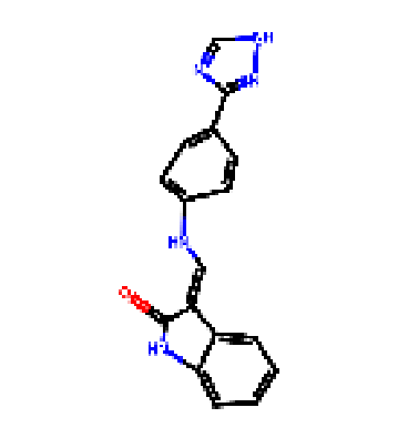 O=C1Nc2ccccc2C1=CNc1ccc(-c2nc[nH]n2)cc1